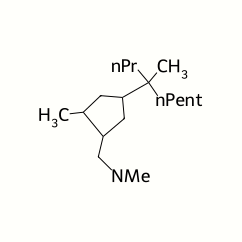 CCCCCC(C)(CCC)C1CC(C)C(CNC)C1